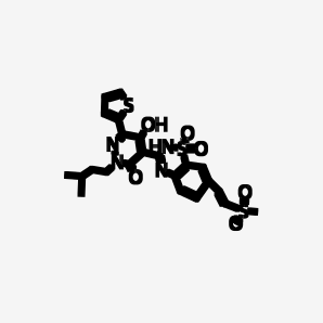 CC(C)CCn1nc(-c2cccs2)c(O)c(C2=Nc3ccc(C=CS(C)(=O)=O)cc3S(=O)(=O)N2)c1=O